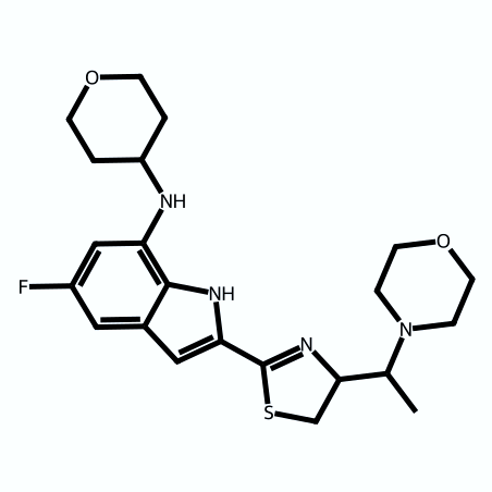 CC(C1CSC(c2cc3cc(F)cc(NC4CCOCC4)c3[nH]2)=N1)N1CCOCC1